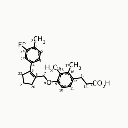 Cc1ccc(C2=C(COc3ccc(CCC(=O)O)c(C)c3C)CCC2)cc1F